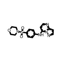 O=S(=O)(c1ccc(Nc2ccnc3ccnn23)cc1)N1CCOCC1